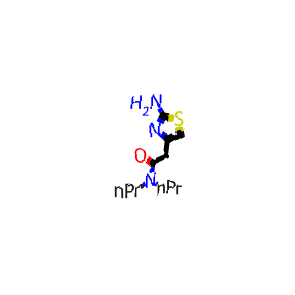 CCCN(CCC)C(=O)Cc1csc(N)n1